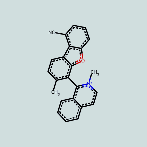 Cc1ccc2c(oc3cccc(C#N)c32)c1-c1c2ccccc2cc[n+]1C